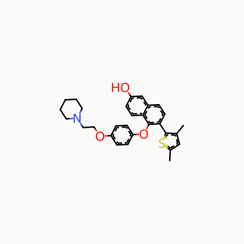 Cc1cc(C)c(-c2ccc3cc(O)ccc3c2Oc2ccc(OCCN3CCCCC3)cc2)s1